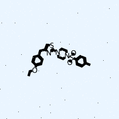 CCOc1ccc(Cc2csc(N3CCN(S(=O)(=O)c4ccc(C)cc4)CC3)n2)cc1